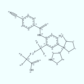 CC1CCC[N+]1(c1ccc(NC(=O)c2ccc(C#N)cc2)c(C(F)(F)F)c1)C1CCNC1.O=C(O)C(F)(F)F